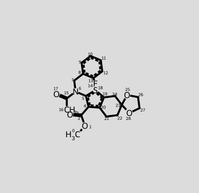 COC(=O)c1c(N(Cc2ccccc2F)C(C)=O)sc2c1CCC1(C2)OCCO1